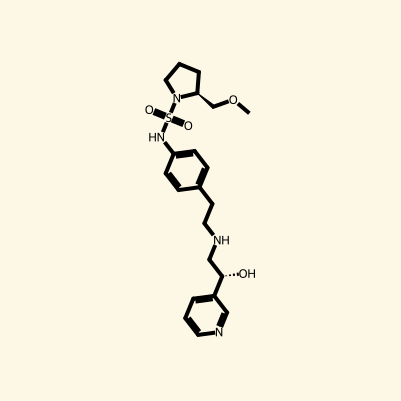 COC[C@@H]1CCCN1S(=O)(=O)Nc1ccc(CCNC[C@H](O)c2cccnc2)cc1